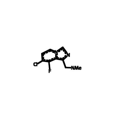 CNCc1ncn2ccc(Cl)c(F)c12